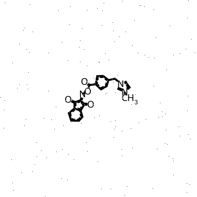 Cn1cc[n+](Cc2ccc(C(=O)ON=c3c(=O)c4ccccc4c3=O)cc2)c1